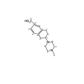 CN1CCN(C2CCc3cc(C(=O)O)ccc3C2)CC1